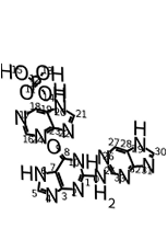 Nc1nc2nc[nH]c2c(=O)[nH]1.O=P(O)(O)O.c1ncc2[nH]cnc2n1.c1ncc2[nH]cnc2n1